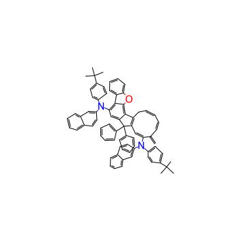 C=C1/C=C\C=C/CC2=C(/C=C\1N(c1ccc(C(C)(C)C)cc1)c1ccc3ccccc3c1)C(c1ccccc1)(c1ccccc1)c1cc(N(c3ccc(C(C)(C)C)cc3)c3ccc4ccccc4c3)c3c(oc4ccccc43)c12